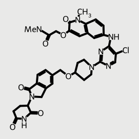 CNC(=O)COc1cc2cc(Nc3nc(N4CCC(OCc5ccc6c(c5)CN(C5CCC(=O)NC5=O)C6=O)CC4)ncc3Cl)ccc2n(C)c1=O